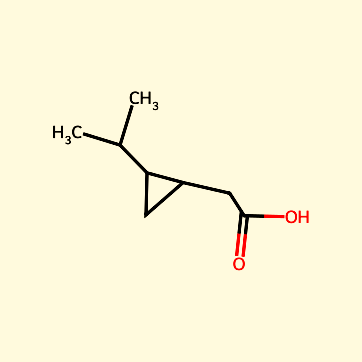 CC(C)C1CC1CC(=O)O